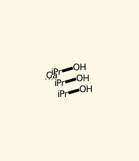 CC(C)O.CC(C)O.CC(C)O.[Ga]